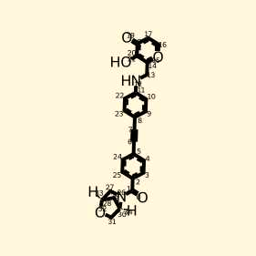 O=C(c1ccc(C#Cc2ccc(NCc3occc(=O)c3O)cc2)cc1)N1C[C@H]2C[C@@H]1CO2